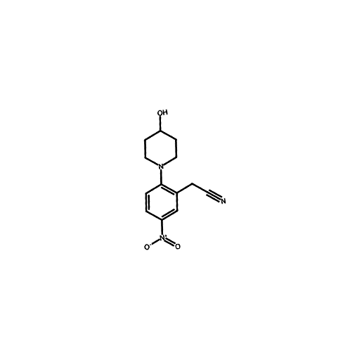 N#CCc1cc([N+](=O)[O-])ccc1N1CCC(O)CC1